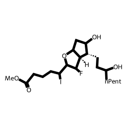 CCCCCC(O)CC[C@H]1C(O)CC2OC(C(I)CCCC(=O)OC)C(F)[C@@H]21